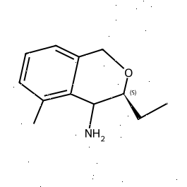 CC[C@@H]1OCc2cccc(C)c2C1N